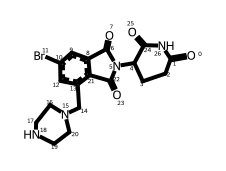 O=C1CCC(N2C(=O)c3cc(Br)cc(CN4CCNCC4)c3C2=O)C(=O)N1